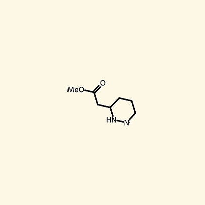 COC(=O)CC1CCC[N]N1